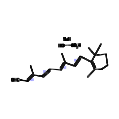 CC1=C(/C=C/C(C)=C/C=C/C(C)=C/C=O)C(C)(C)CCC1.O=S(=O)(O)O.[NaH]